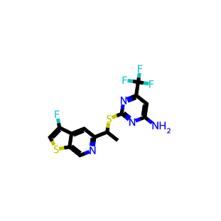 CC(Sc1nc(N)cc(C(F)(F)F)n1)c1cc2c(F)csc2cn1